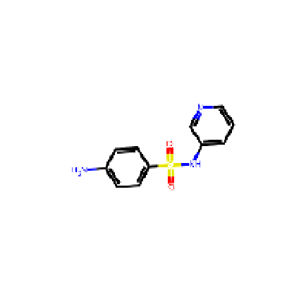 Nc1ccc(S(=O)(=O)Nc2cccnc2)cc1